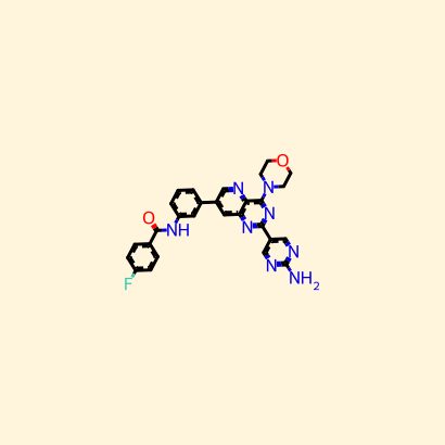 Nc1ncc(-c2nc(N3CCOCC3)c3ncc(-c4cccc(NC(=O)c5ccc(F)cc5)c4)cc3n2)cn1